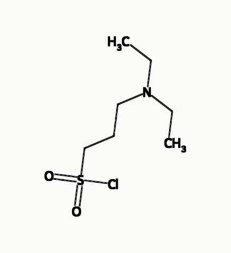 CCN(CC)CCCS(=O)(=O)Cl